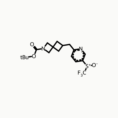 CC(C)(C)OC(=O)N1CC2(CC(Cc3ccc([S+]([O-])C(F)(F)F)cn3)C2)C1